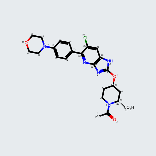 CC(C)C(=O)N1CC[C@@H](Oc2nc3nc(-c4ccc(N5CCOCC5)cc4)c(Cl)cc3[nH]2)C[C@@H]1C(=O)O